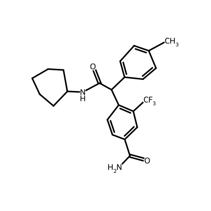 Cc1ccc(C(C(=O)NC2CCCCC2)c2ccc(C(N)=O)cc2C(F)(F)F)cc1